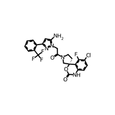 Nc1cc(-c2ccccc2C(F)(F)F)nn1CC(=O)N1CC[C@@]2(C1)OC(=O)Nc1ccc(Cl)c(F)c12